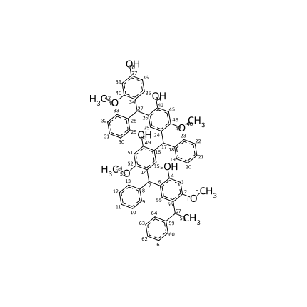 COc1cc(O)c(C(c2ccccc2)c2cc(C(c3ccccc3)c3cc(C(c4ccccc4)c4ccc(O)cc4OC)c(O)cc3OC)c(O)cc2OC)cc1C(C)c1ccccc1